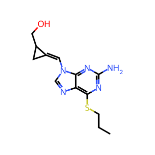 CCCSc1nc(N)nc2c1ncn2C=C1CC1CO